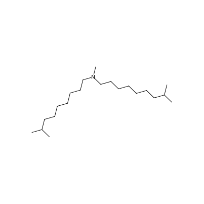 CC(C)CCCCCCCN(C)CCCCCCCC(C)C